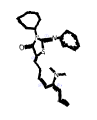 C=C/C=C(\C=C/C/C=C1\S/C(=N\c2ccccc2)N(C2CCCCC2)C1=O)N(C)C